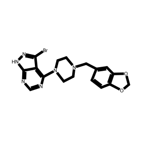 Brc1n[nH]c2ncnc(N3CCN(Cc4ccc5c(c4)OCO5)CC3)c12